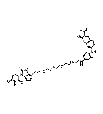 Cc1cc(NCCOCCOCCOCCOCCCc2cccc3c2n(C)c(=O)n3C2CCC(=O)NC2=O)ccc1Nc1ncc2cc(C(F)F)c(=O)[nH]c2n1